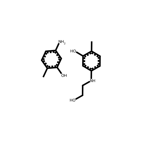 Cc1ccc(N)cc1O.Cc1ccc(NCCO)cc1O